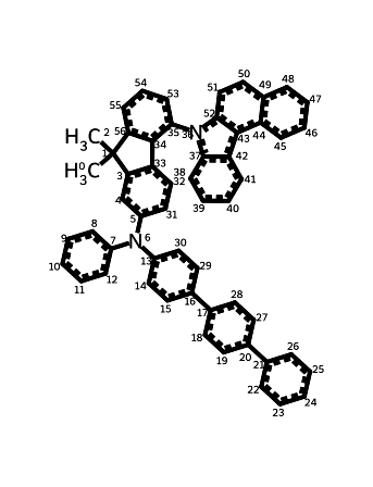 CC1(C)c2cc(N(c3ccccc3)c3ccc(-c4ccc(-c5ccccc5)cc4)cc3)ccc2-c2c(-n3c4ccccc4c4c5ccccc5ccc43)cccc21